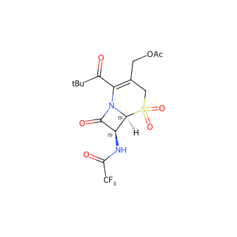 CC(=O)OCC1=C(C(=O)C(C)(C)C)N2C(=O)[C@H](NC(=O)C(F)(F)F)[C@@H]2S(=O)(=O)C1